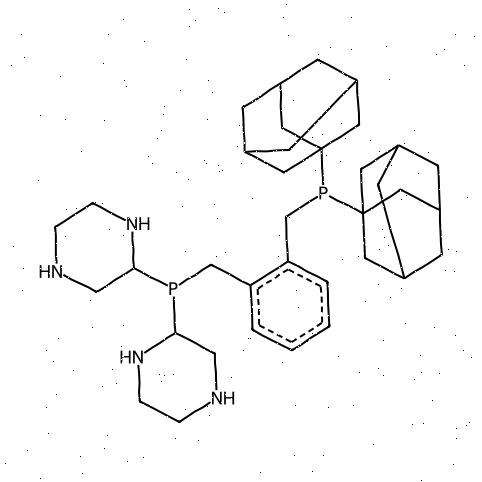 c1ccc(CP(C23CC4CC(CC(C4)C2)C3)C23CC4CC(CC(C4)C2)C3)c(CP(C2CNCCN2)C2CNCCN2)c1